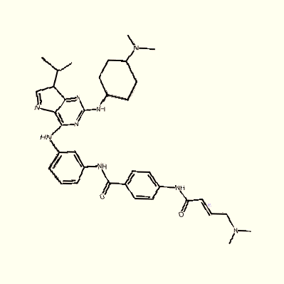 CC(C)C1C=Nc2c(Nc3cccc(NC(=O)c4ccc(NC(=O)/C=C/CN(C)C)cc4)c3)nc(NC3CCC(N(C)C)CC3)nc21